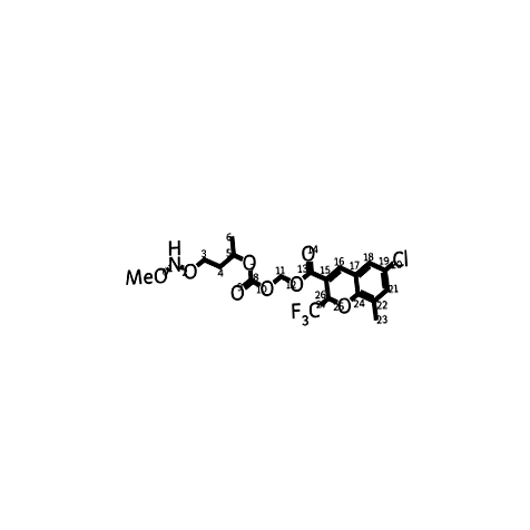 CONOCCC(C)OC(=O)OCOC(=O)C1=Cc2cc(Cl)cc(C)c2OC1C(F)(F)F